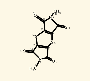 Cn1c(=O)c2sc3c(=S)n(C)c(=O)c3sc2c1=S